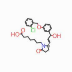 O=C(O)CCCCCCN1C(=O)CC[C@@H]1C=CC(O)c1cccc(OCc2ccccc2Cl)c1